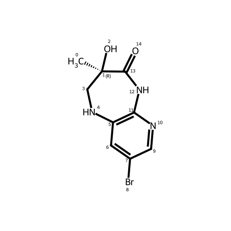 C[C@@]1(O)CNc2cc(Br)cnc2NC1=O